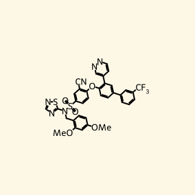 COc1ccc(CN(c2ncns2)S(=O)(=O)c2ccc(Oc3ccc(-c4cccc(C(F)(F)F)c4)cc3-c3ccnnc3)c(C#N)c2)c(OC)c1